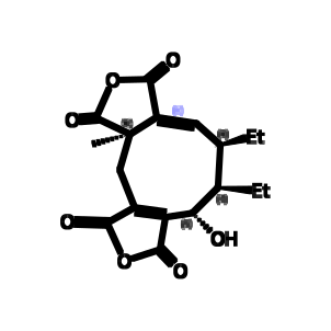 CC[C@H]1[C@H](O)C2=C(C[C@@]3(C)C(=O)OC(=O)/C3=C/[C@H]1CC)C(=O)OC2=O